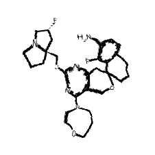 Nc1ccc2c(c1F)C1(CCC2)Cc2nc(OC[C@@]34CCCN3C[C@H](F)C4)nc(N3CCCOCC3)c2CO1